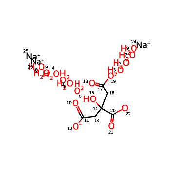 O.O.O.O.O.O.O.O.O.O.O=C([O-])CC(O)(CC(=O)[O-])C(=O)[O-].[Na+].[Na+].[Na+]